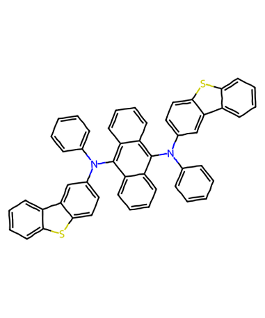 c1ccc(N(c2ccc3sc4ccccc4c3c2)c2c3ccccc3c(N(c3ccccc3)c3ccc4sc5ccccc5c4c3)c3ccccc23)cc1